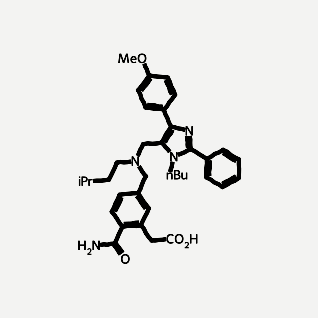 CCCCn1c(-c2ccccc2)nc(-c2ccc(OC)cc2)c1CN(CCC(C)C)Cc1ccc(C(N)=O)c(CC(=O)O)c1